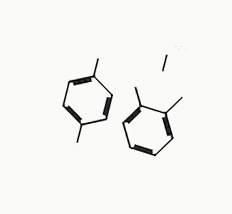 COC.Cc1ccccc1O.Oc1ccc(O)cc1